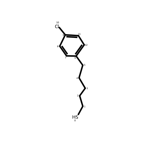 SCCCCCc1ccc(Cl)cc1